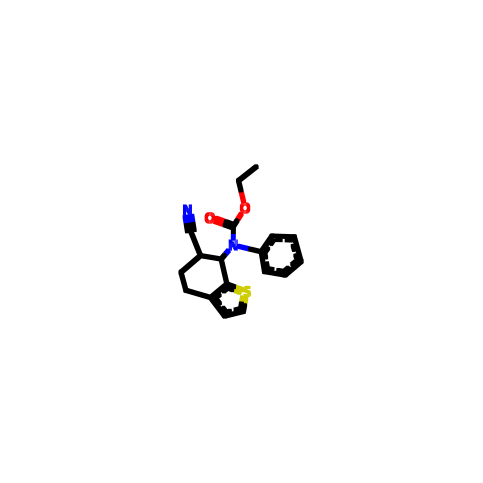 CCOC(=O)N(c1ccccc1)C1c2sccc2CCC1C#N